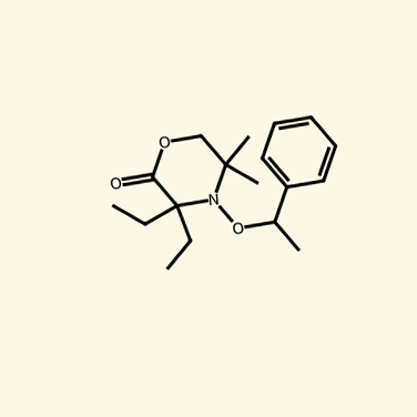 CCC1(CC)C(=O)OCC(C)(C)N1OC(C)c1ccccc1